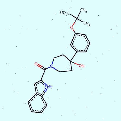 CC(C)(Oc1cccc(C2(O)CCN(C(=O)c3cc4ccccc4[nH]3)CC2)c1)C(=O)O